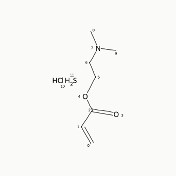 C=CC(=O)OCCN(C)C.Cl.S